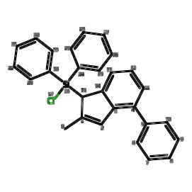 CC1=Cc2c(-c3ccccc3)cccc2C1[Si](Cl)(c1ccccc1)c1ccccc1